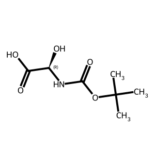 CC(C)(C)OC(=O)N[C@H](O)C(=O)O